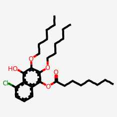 CCCCCCCC(=O)Oc1c(OCCCCCC)c(OCCCCCC)c(O)c2c(Cl)cccc12